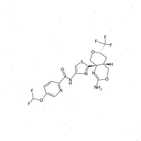 NC1=N[C@]2(c3nc(NC(=O)c4ccc(OC(F)F)cn4)cs3)CO[C@H](C(F)(F)F)C[C@@H]2CO1